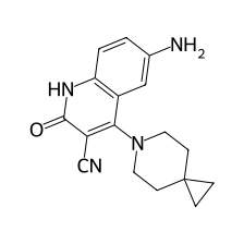 N#Cc1c(N2CCC3(CC2)CC3)c2cc(N)ccc2[nH]c1=O